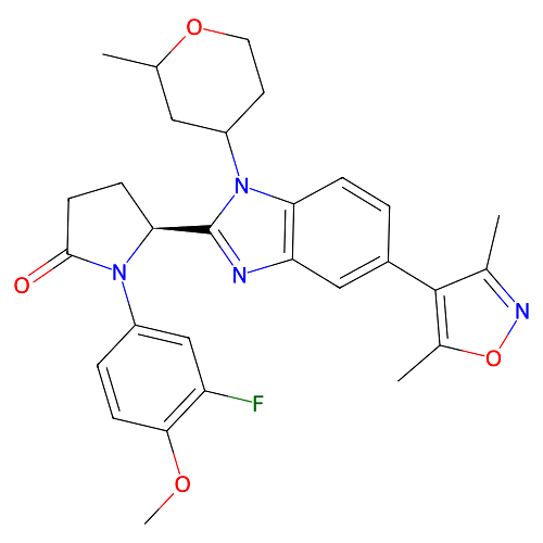 COc1ccc(N2C(=O)CC[C@H]2c2nc3cc(-c4c(C)noc4C)ccc3n2C2CCOC(C)C2)cc1F